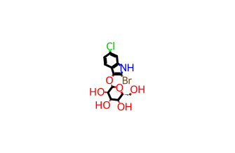 OC[C@H]1O[C@@H](Oc2c(Br)[nH]c3cc(Cl)ccc23)[C@H](O)[C@@H](O)[C@@H]1O